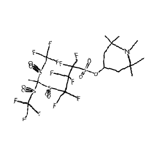 CN1C(C)(C)CC(OS(=O)(=O)C(F)(F)C(F)(F)C(F)(F)S(=O)(=O)C(C)(S(=O)(=O)C(F)(F)F)S(=O)(=O)C(F)(F)F)CC1(C)C